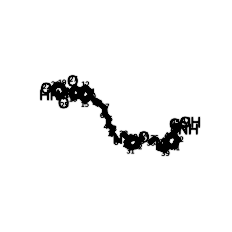 CN(CCCCCCC#Cc1ccc2c(c1)CN(C1CCC(=O)NC1=O)C2=O)Cc1cccc(OCCn2ccc3ccc(C(=O)NO)cc32)c1